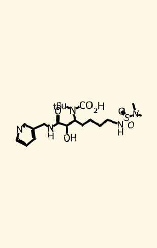 CN(C)S(=O)(=O)NCCCCC(C(O)C(=O)NCc1cccnc1)N(C(=O)O)C(C)(C)C